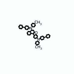 Cc1ccc(N(c2ccc(-c3ccccc3)cc2)c2ccc3c(c2)oc2cc(N(c4ccc(C)cc4)c4ccc(-c5ccccc5)cc4)c4ccccc4c23)cc1